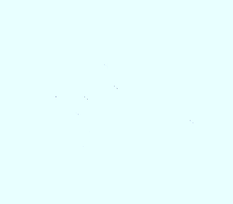 CN(C)c1ccc(/C=c2/c(C(C)(C)C)nn3c(-c4ccccc4O)nnc23)s1